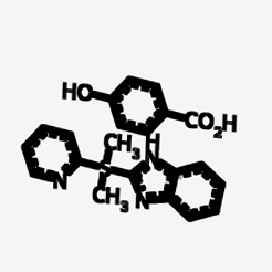 CS(C)(c1ccccn1)c1nc2ccccc2[nH]1.O=C(O)c1ccc(O)cc1